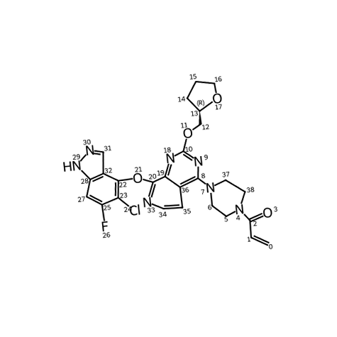 C=CC(=O)N1CCN(c2nc(OC[C@H]3CCCO3)nc3c(Oc4c(Cl)c(F)cc5[nH]ncc45)nccc23)CC1